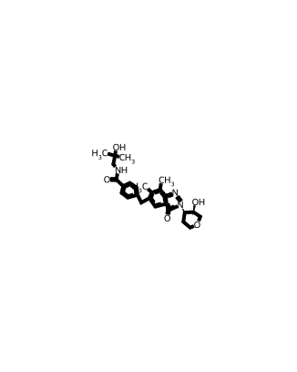 Cc1c(Cc2ccc(C(=O)NCC(C)(C)O)cc2)cc2c(=O)n([C@H]3CCOC[C@@H]3O)cnc2c1C